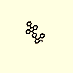 c1ccc(-c2c3ccccc3c(-c3ccc(-c4cccc5sc6ccccc6c45)cc3)c3ccccc23)cc1